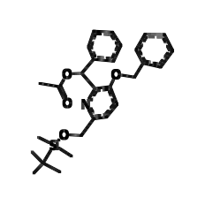 CC(=O)OC(c1ccccc1)c1nc(CO[Si](C)(C)C(C)(C)C)ccc1OCc1ccccc1